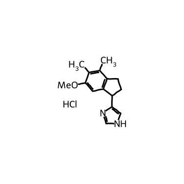 COc1cc2c(c(C)c1C)CCC2c1c[nH]cn1.Cl